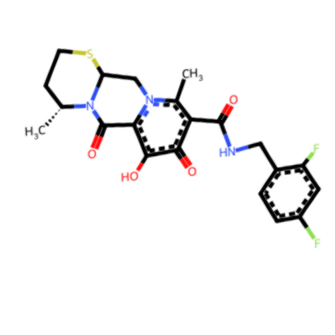 Cc1c(C(=O)NCc2ccc(F)cc2F)c(=O)c(O)c2n1CC1SCC[C@@H](C)N1C2=O